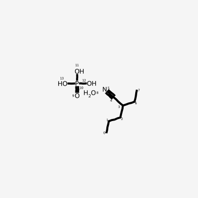 CCCC(C#N)CC.O.O=P(O)(O)O